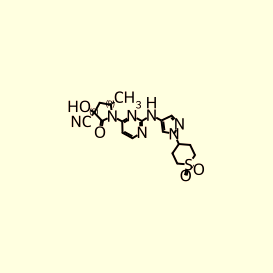 C[C@@H]1C[C@](O)(C#N)C(=O)N1c1ccnc(Nc2cnn(C3CCS(=O)(=O)CC3)c2)n1